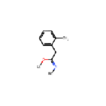 CCOC(Cc1ccccc1C)=NC#N